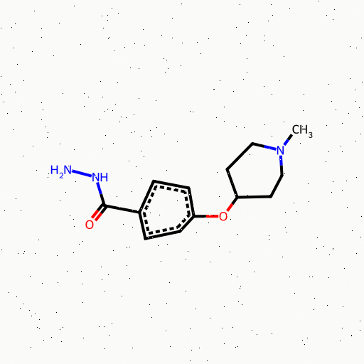 CN1CCC(Oc2ccc(C(=O)NN)cc2)CC1